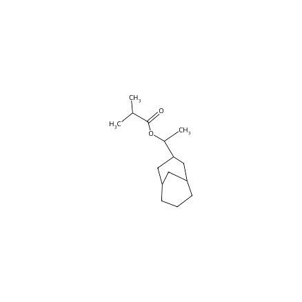 CC(C)C(=O)OC(C)C1CC2CCCC(C2)C1